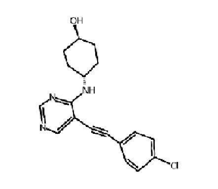 O[C@H]1CC[C@H](Nc2ncncc2C#Cc2ccc(Cl)cc2)CC1